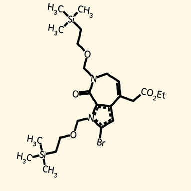 CCOC(=O)CC1=CCN(COCC[Si](C)(C)C)C(=O)c2c1cc(Br)n2COCC[Si](C)(C)C